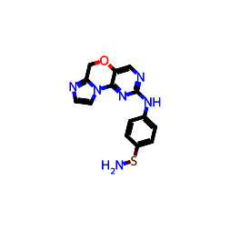 NSc1ccc(Nc2ncc3c(n2)-n2ccnc2CO3)cc1